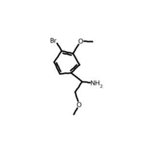 COCC(N)c1ccc(Br)c(OC)c1